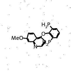 COc1ccc2c(Oc3c(P)cccc3P)ccnc2c1